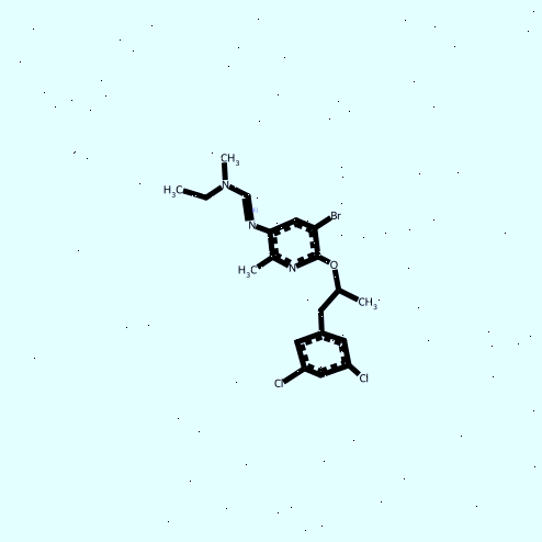 CCN(C)/C=N/c1cc(Br)c(OC(C)Cc2cc(Cl)cc(Cl)c2)nc1C